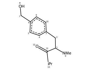 CNC(Cc1ccc(CO)cc1)C(=O)C(C)C